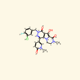 CN1CCn2c(c(O)c3c(=O)n(Cc4ccc(F)c(Cl)c4)nc(-c4ccc(=O)n(C)c4)c32)C1=O